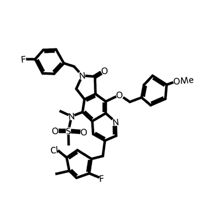 COc1ccc(COc2c3c(c(N(C)S(C)(=O)=O)c4cc(Cc5cc(Cl)c(C)cc5F)cnc24)CN(Cc2ccc(F)cc2)C3=O)cc1